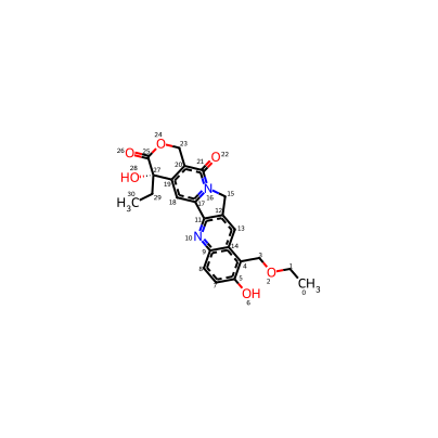 CCOCc1c(O)ccc2nc3c(cc12)Cn1c-3cc2c(c1=O)COC(=O)[C@]2(O)CC